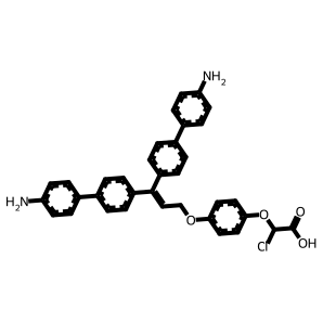 Nc1ccc(-c2ccc(C(=CCOc3ccc(OC(Cl)C(=O)O)cc3)c3ccc(-c4ccc(N)cc4)cc3)cc2)cc1